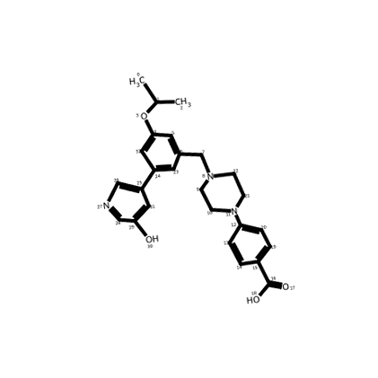 CC(C)Oc1cc(CN2CCN(c3ccc(C(=O)O)cc3)CC2)cc(-c2cncc(O)c2)c1